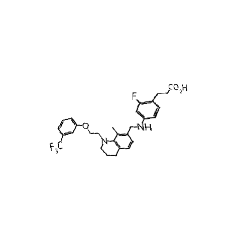 Cc1c(CNc2ccc(CCC(=O)O)c(F)c2)ccc2c1N(CCOc1cccc(C(F)(F)F)c1)CCC2